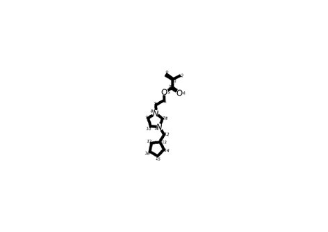 C=C(C)C(=O)OCCN1CCN(CC2CCCC2)C1